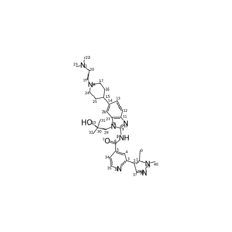 Cc1c(-c2cc(C(=O)Nc3nc4ccc(C5CCN(CCN(C)C)CC5)cc4n3CC(C)(C)O)ccn2)cnn1C